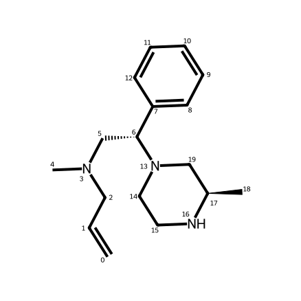 C=CCN(C)C[C@H](c1ccccc1)N1CCN[C@H](C)C1